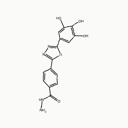 NNC(=O)c1ccc(-c2nnc(-c3cc(O)c(O)c(O)c3)o2)cc1